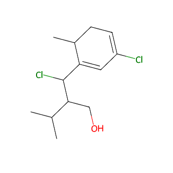 CC1CC=C(Cl)C=C1C(Cl)C(CO)C(C)C